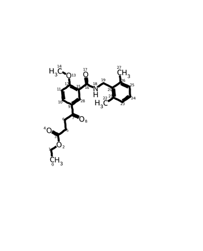 CCOC(=O)CCC(=O)c1ccc(OC)c(C(=O)NCc2c(C)cccc2C)c1